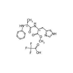 COC(=O)[C@H](Cc1c[nH]cn1)NC(=O)[C@H](C)Nc1ccccc1.O=C(O)C(F)(F)F